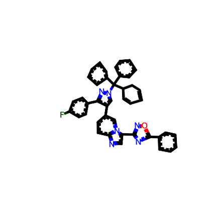 Fc1ccc(-c2nn(C(c3ccccc3)(c3ccccc3)C3C=CC=CC3)cc2-c2ccc3ncc(-c4noc(-c5ccccc5)n4)n3c2)cc1